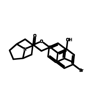 O=C(COc1ccc(Br)cc1O)N1C2CCC1CC(Oc1ccc(F)cc1)C2